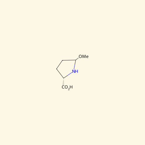 COC1CC[C@@H](C(=O)O)N1